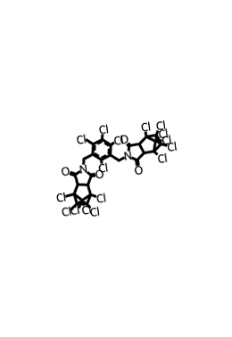 O=C1C2C(C(=O)N1Cc1c(Cl)c(Cl)c(Cl)c(CN3C(=O)C4C(C3=O)C3(Cl)C(Cl)=C(Cl)C4(Cl)C3(Cl)Cl)c1Cl)C1(Cl)C(Cl)=C(Cl)C2(Cl)C1(Cl)Cl